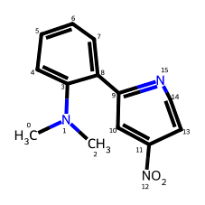 CN(C)c1ccccc1-c1cc([N+](=O)[O-])ccn1